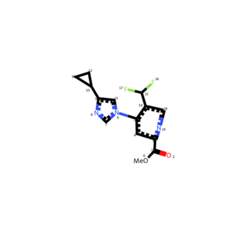 COC(=O)c1cc(-n2cnc(C3CC3)c2)c(C(F)F)cn1